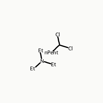 CCCCCC(Cl)Cl.CCN(CC)CC